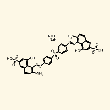 Nc1ccc2cc(S(=O)(=O)O)cc(O)c2c1/N=N/c1ccc(S(=O)(=O)c2ccc(/N=N/c3c(N)ccc4cc(S(=O)(=O)O)cc(O)c34)cc2)cc1.[NaH].[NaH]